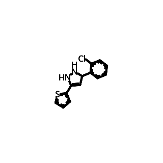 Clc1ccccc1C1C=C(c2cccs2)NN1